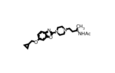 CC(=O)N[C@@H](C)CCN1CCN(c2nc3ccc(OCC4CC4)cc3o2)CC1